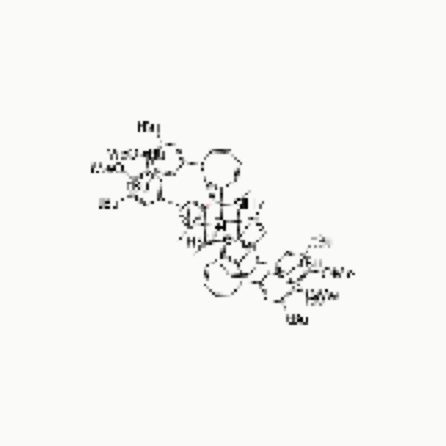 COc1c(C(C)(C)C)cc(C2C=CC=CC3=C2C=C(C)[C]32[SiH](C)[C]3(C(C)=CC4=C3C=CC=CC4c3cc(C(C)(C)C)c(OC)c(C(C)(C)C)c3)[Zr]23([Cl])([Cl])[C]2(C(C)=CC4=C2C=CC=CC4c2cc(C(C)(C)C)c(OC)c(C(C)(C)C)c2)[SiH](C)[C]32C(C)=CC3=C2C=CC=CC3c2cc(C(C)(C)C)c(OC)c(C(C)(C)C)c2)cc1C(C)(C)C